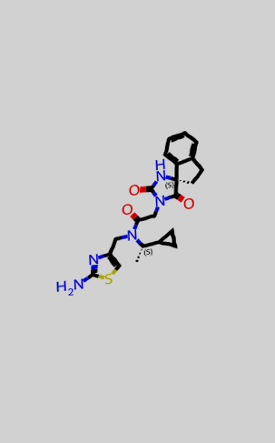 C[C@@H](C1CC1)N(Cc1csc(N)n1)C(=O)CN1C(=O)N[C@]2(CCc3ccccc32)C1=O